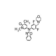 Cc1cc(N(c2cc(F)c(CN3CCOCC3)c(F)c2)c2nc3ccccc3o2)cn(C)c1=O